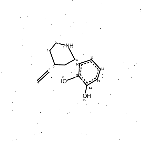 C1CCNCC1.C=C.Oc1ccccc1O